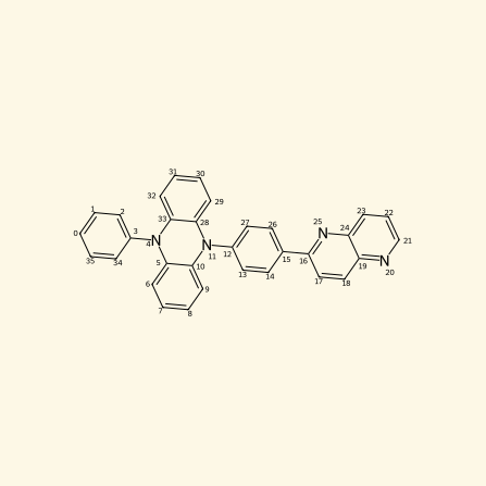 c1ccc(N2c3ccccc3N(c3ccc(-c4ccc5ncccc5n4)cc3)c3ccccc32)cc1